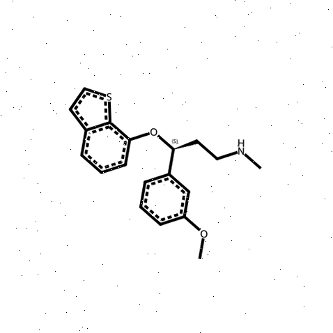 CNCC[C@H](Oc1cccc2ccsc12)c1cccc(OC)c1